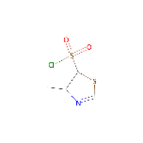 CC1N=CSC1S(=O)(=O)Cl